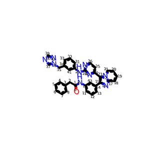 O=C(Cc1ccccc1)Nc1cccc(-c2nc3ccccn3c2-c2ccnc(Nc3cccc(Cn4cncn4)c3)n2)c1